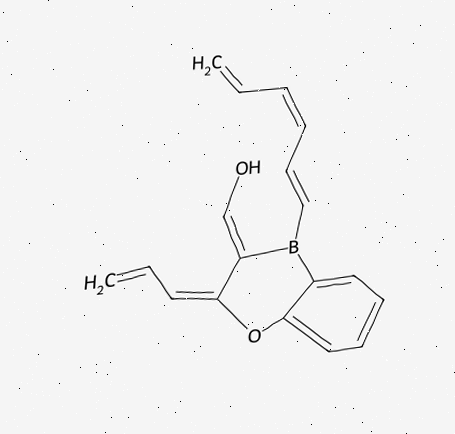 C=C/C=C\C=C\B1C(=C\O)/C(=C\C=C)Oc2ccccc21